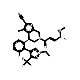 CCn1cc(-c2c(F)cccc2[C@@H]2CN(C(=O)/C=C/[C@@H](C)NC)Cc3sc(C#N)c(C)c32)c(C(F)(F)F)n1